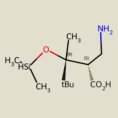 C[SiH](C)O[C@](C)([C@H](CN)C(=O)O)C(C)(C)C